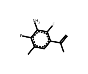 C=C(C)c1cc(C)c(F)c(N)c1F